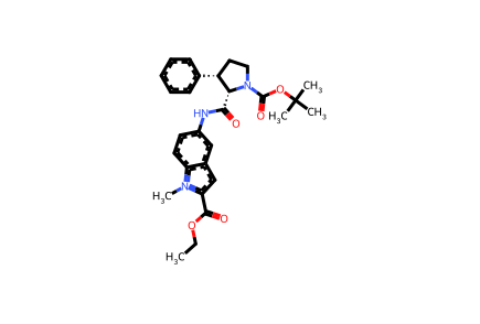 CCOC(=O)c1cc2cc(NC(=O)[C@@H]3[C@H](c4ccccc4)CCN3C(=O)OC(C)(C)C)ccc2n1C